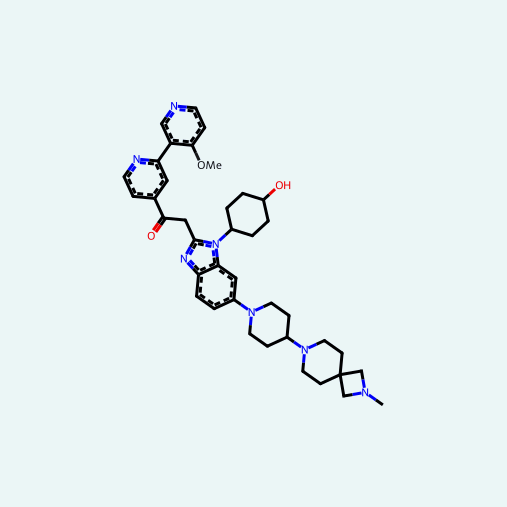 COc1ccncc1-c1cc(C(=O)Cc2nc3ccc(N4CCC(N5CCC6(CC5)CN(C)C6)CC4)cc3n2C2CCC(O)CC2)ccn1